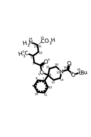 CC(CC(=O)OC1(c2ccccc2)CCN(C(=O)OC(C)(C)C)CC1)C[C@H](N)C(=O)O